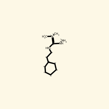 C[N+](C)=C(NN)NCCC1CCCCC1